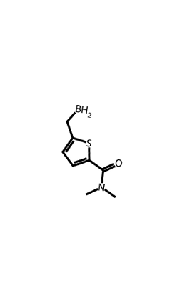 BCc1ccc(C(=O)N(C)C)s1